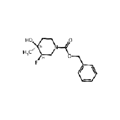 C[C@]1(O)CCN(C(=O)OCc2ccccc2)C[C@H]1F